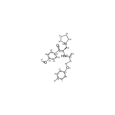 C=C(CCOc1ccc(C)cc1)N[C@H](CN1CCCC1)C(=O)c1ccc(OC)cc1